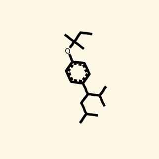 CCC(C)(C)Oc1ccc(C(CC(C)C)C(C)C)cc1